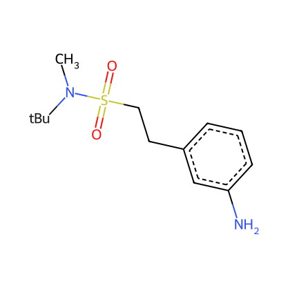 CN(C(C)(C)C)S(=O)(=O)CCc1cccc(N)c1